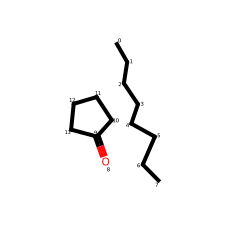 CCCCCCCC.O=C1CCCC1